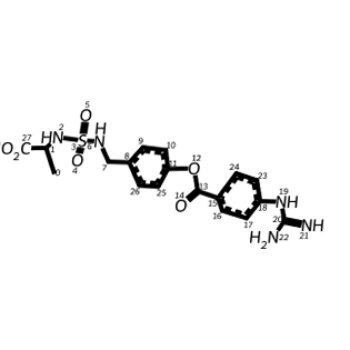 CC(NS(=O)(=O)NCc1ccc(OC(=O)c2ccc(NC(=N)N)cc2)cc1)C(=O)O